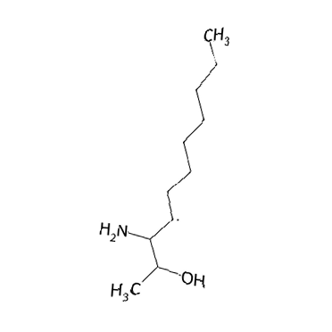 CCCCCCC[CH]C(N)C(C)O